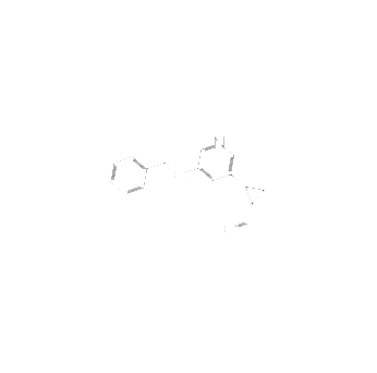 O=C[C@H]1C[C@@H]1c1cncc(OCc2ccccc2)c1